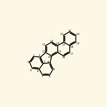 c1cc2c3c(cccc3c1)-c1c-2ccc2c1ccc1ccccc12